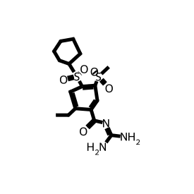 CCc1cc(S(=O)(=O)C2CCCCC2)c(S(C)(=O)=O)cc1C(=O)N=C(N)N